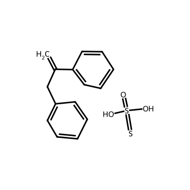 C=C(Cc1ccccc1)c1ccccc1.O=S(O)(O)=S